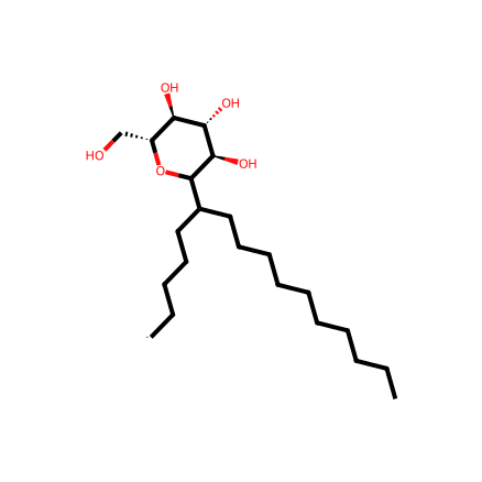 [CH2]CCCCC(CCCCCCCCCC)C1O[C@H](CO)[C@@H](O)[C@H](O)[C@H]1O